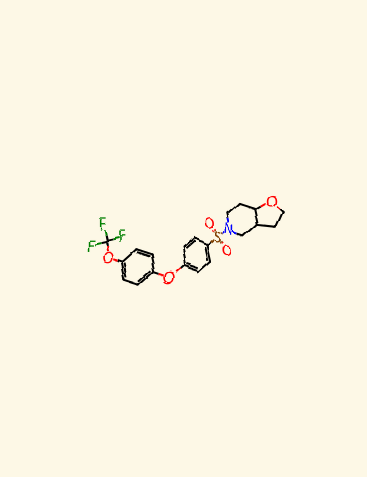 O=S(=O)(c1ccc(Oc2ccc(OC(F)(F)F)cc2)cc1)N1CCC2OCCC2C1